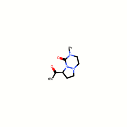 CC(C)N1CCN2CC[C@@H](C(=O)C(C)(C)C)N2C1=O